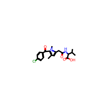 Cc1cc(CC(=O)NC(C(=O)O)C(C)C)n(C)c1C(=O)c1ccc(Cl)cc1